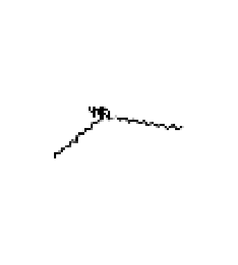 CCCCCCCCCCCCCCCCN1C=CN(CC)C1CCCCCCCCCCCCC